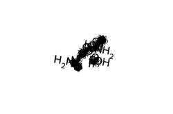 Nc1cc2ccccc2c(CCc2ccc(C(=O)OC(=O)C[C@@H](N)NS(=O)(=O)c3ccccc3)cc2)n1.O=C(O)C(F)(F)F